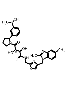 Cc1ccc2c(c1)nc(C)n2Cc1csc(CNC(=O)C(O)[C@@H](O)C(=O)N2CCCC2c2cccc(N(C)C)c2)n1